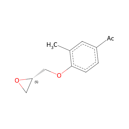 CC(=O)c1ccc(OC[C@@H]2CO2)c(C)c1